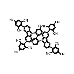 N#Cc1cc(C#N)c(-c2ccc3c(c2)c2cc(-c4c(C#N)cc(C#N)cc4C#N)ccc2n3-c2ccncc2-c2ccc(C#N)cc2-n2c3ccc(-c4c(C#N)cc(C#N)cc4C#N)cc3c3cc(-c4c(C#N)cc(C#N)cc4C#N)ccc32)c(C#N)c1